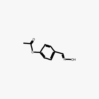 CC(=O)Oc1ccc(C=NO)cc1